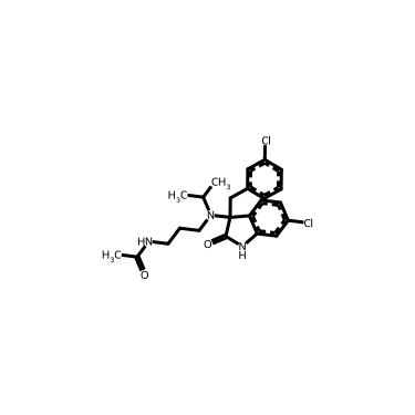 CC(=O)NCCCN(C(C)C)C1(Cc2cccc(Cl)c2)C(=O)Nc2cc(Cl)ccc21